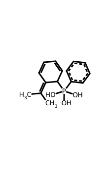 CC(C)=C1C=CC=CC1P(O)(O)(O)c1ccccc1